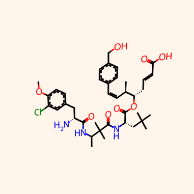 COc1ccc(C[C@@H](N)C(=O)NC(C)C(C)(C)C(=O)N[C@@H](CC(C)(C)C)C(=O)O[C@@H](CC=CC(=O)O)[C@H](C)C=Cc2ccc(CO)cc2)cc1Cl